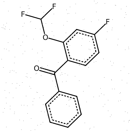 O=C(c1ccccc1)c1ccc(F)cc1OC(F)F